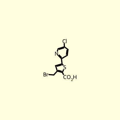 O=C(O)c1sc(-c2ccc(Cl)cn2)cc1CBr